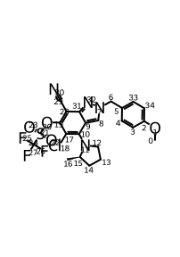 COc1ccc(Cn2cc3c(N4CCC[C@H]4C)c(Cl)c(OS(=O)(=O)C(F)(F)F)c(C#N)c3n2)cc1